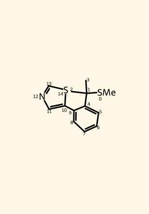 CSC(C)(C)c1ccccc1-c1cncs1